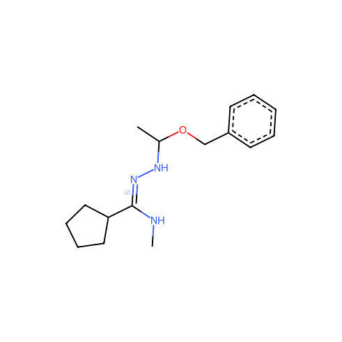 CN/C(=N\NC(C)OCc1ccccc1)C1CCCC1